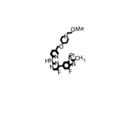 COCCN1CCC(OCc2ccc(Nc3ncc(F)c(-c4cc(F)c5nc(C)n(C(C)C)c5c4)n3)nc2)CC1